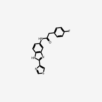 O=C(Cc1ccc(F)cc1)Nc1ccc2[nH]c(-c3cscn3)nc2c1